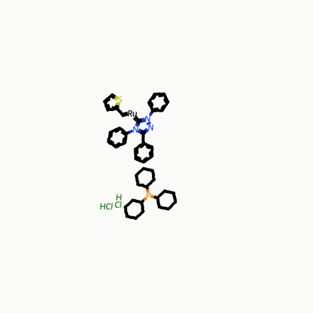 C1CCC(P(C2CCCCC2)C2CCCCC2)CC1.Cl.Cl.[CH](=[Ru]=[c]1n(-c2ccccc2)nc(-c2ccccc2)n1-c1ccccc1)c1cccs1